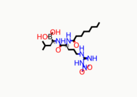 CCCCCCCC(=O)N[C@@H](CCCNC(=N)N[N+](=O)[O-])C(=O)N[C@@H](CC(C)C)B(O)O